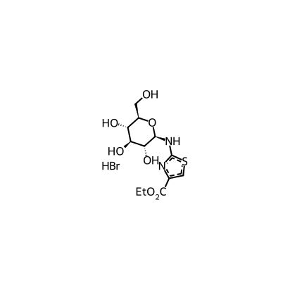 Br.CCOC(=O)c1csc(N[C@@H]2O[C@H](CO)[C@@H](O)[C@H](O)[C@H]2O)n1